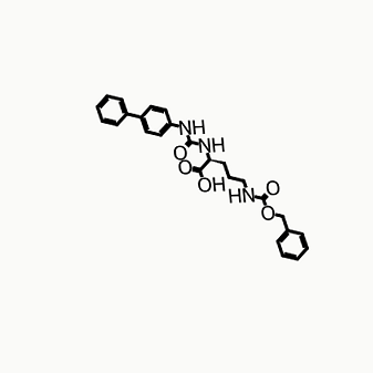 O=C(Nc1ccc(-c2ccccc2)cc1)N[C@@H](CCCNC(=O)OCc1ccccc1)C(=O)O